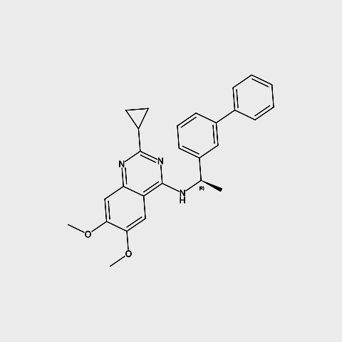 COc1cc2nc(C3CC3)nc(N[C@H](C)c3cccc(-c4ccccc4)c3)c2cc1OC